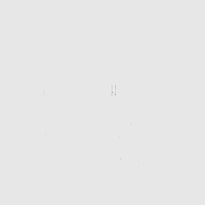 CC(C(=O)Nc1cc(Cl)c(Cl)cc1SC(=O)C(C)(C)C)C1CCCCC1